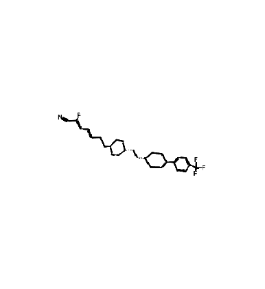 N#CC(F)=CC=CCC[C@H]1CC[C@H](CC[C@H]2CC[C@H](c3ccc(C(F)(F)F)cc3)CC2)CC1